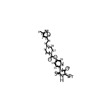 Cc1cc(CCN2CCN(C(=O)Oc3ccc(N4C(=O)C(C(C)C)NC4=S)nc3)CC2)on1